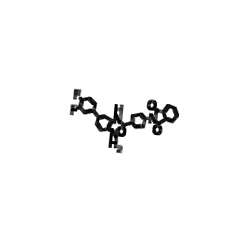 Nc1ccc(-c2ccc(F)c(F)c2)cc1NC(=O)c1ccc(N2C(=O)c3ccccc3C2=O)cc1